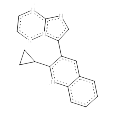 c1ccc2nc(C3CC3)c(-c3cnc4nccnn34)cc2c1